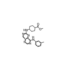 COC(=O)C1CCC(Nc2ncc3ncnc(Nc4cccc(C)c4)c3n2)CC1